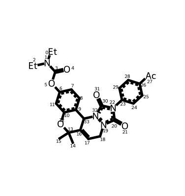 CCN(CC)C(=O)Oc1ccc2c(c1)OC(C)(C)C1=CCn3c(=O)n(-c4ccc(C(C)=O)cc4)c(=O)n3C12